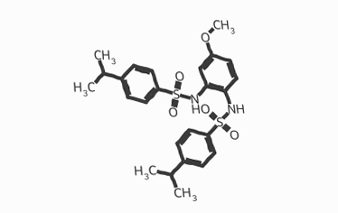 COc1ccc(NS(=O)(=O)c2ccc(C(C)C)cc2)c(NS(=O)(=O)c2ccc(C(C)C)cc2)c1